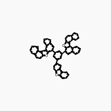 c1ccc2c(c1)ccc1oc3c(-c4cc(-c5ccc6oc7ccccc7c6c5)cc(-c5cc6ccccc6c6c5oc5ccc7ccccc7c56)c4)cc4ccccc4c3c12